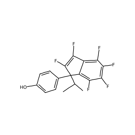 CC(C)C1(c2ccc(O)cc2)C(F)=C(F)c2c(F)c(F)c(F)c(F)c21